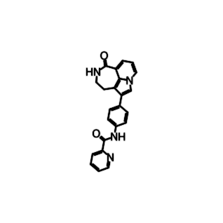 O=C(Nc1ccc(-c2cn3cccc4c3c2CCNC4=O)cc1)c1ccccn1